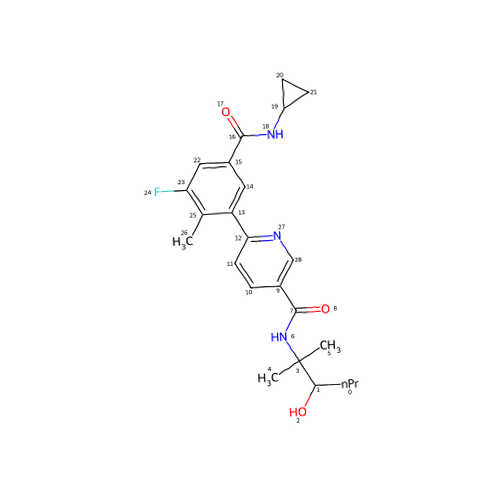 CCCC(O)C(C)(C)NC(=O)c1ccc(-c2cc(C(=O)NC3CC3)cc(F)c2C)nc1